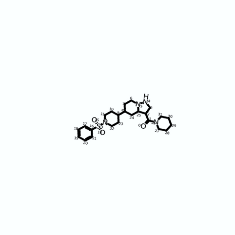 O=C(C1CNN2CCC(C3CCN(S(=O)(=O)c4ccccc4)CC3)CC12)N1CCCCC1